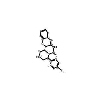 CC(NC1=Nc2ccccc2OC1)N1CCNCC1c1ncc(F)cn1